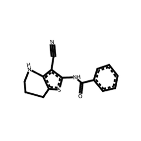 N#Cc1c(NC(=O)c2ccccc2)sc2c1NCCC2